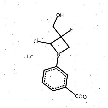 O=C([O-])c1cccc(N2CC(F)(CO)C2Cl)c1.[Li+]